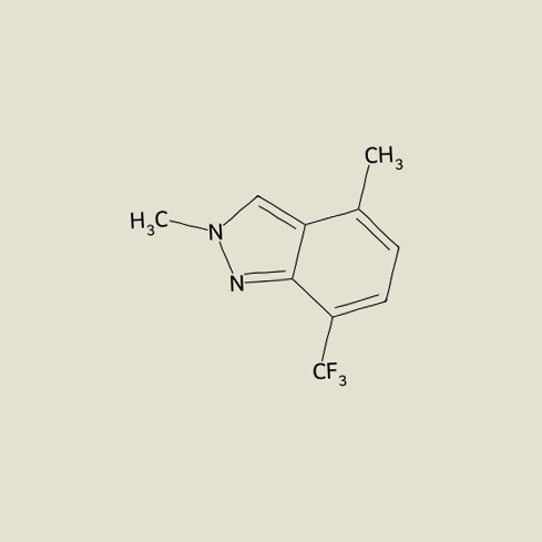 Cc1ccc(C(F)(F)F)c2nn(C)cc12